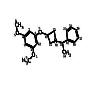 COc1cc(OC)cc(OC2CN(C(C)c3ccccc3)C2)c1